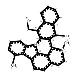 Cc1cccc2c1c1ccc3cc[n+](C)c4c5c(C)c6ccccc6c(CC(C)C)c5n2c1c34